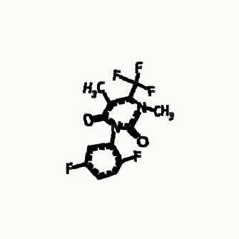 Cc1c(C(F)(F)F)n(C)c(=O)n(-c2cc(F)ccc2F)c1=O